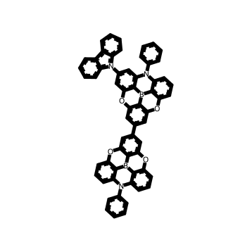 c1ccc(N2c3cccc4c3B3c5c(cc(-c6cc7c8c(c6)Oc6cc(-n9c%10ccccc%10c%10ccccc%109)cc9c6B8c6c(cccc6N9c6ccccc6)O7)cc5Oc5cccc2c53)O4)cc1